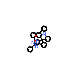 c1ccc(-c2nc(-c3ccccc3)nc(-c3ccccc3C3(c4ccccc4)c4ccccc4-n4c5ccccc5c5cccc3c54)n2)cc1